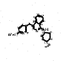 COc1ccc(Cc2cnc(N[C@H]3CC[C@H](C(C)C)CC3)c3ccccc23)cn1